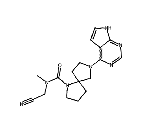 CN(CC#N)C(=O)N1CCCC12CCN(c1ncnc3[nH]ccc13)C2